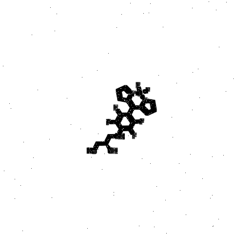 OC[C@@H](O)CNc1c(F)c(F)c(C2=C3C=CC=[N+]3[B-](F)(F)n3cccc32)c(F)c1F